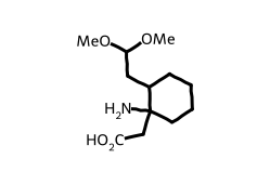 COC(CC1CCCCC1(N)CC(=O)O)OC